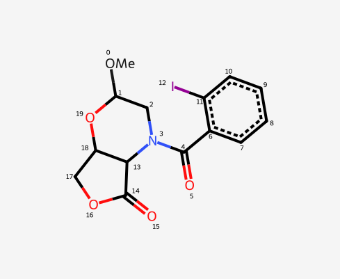 COC1CN(C(=O)c2ccccc2I)C2C(=O)OCC2O1